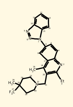 CCc1nc2ccc(-n3nnc4ccccc43)cc2c(C)c1CN1CCC(C)(C(F)(F)F)CC1